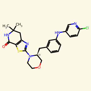 CC1(C)Cc2nc(N3CCOC[C@@H]3Cc3cccc(Nc4ccc(Cl)nc4)c3)sc2C(=O)N1